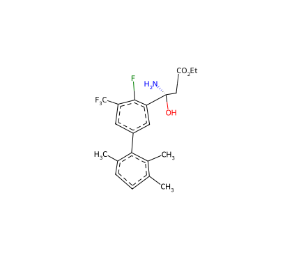 CCOC(=O)C[C@@](N)(O)c1cc(-c2c(C)ccc(C)c2C)cc(C(F)(F)F)c1F